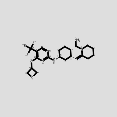 NCN1CCCC/C1=C/[C@H]1CCC[C@@H](Nc2ncc(C(F)(F)F)c(OC3COC3)n2)C1